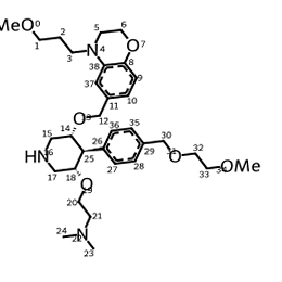 COCCCN1CCOc2ccc(CO[C@H]3CNC[C@@H](OCCN(C)C)[C@@H]3c3ccc(COCCOC)cc3)cc21